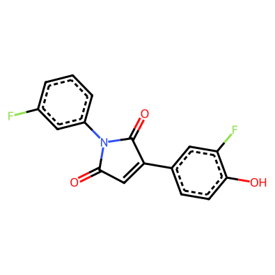 O=C1C=C(c2ccc(O)c(F)c2)C(=O)N1c1cccc(F)c1